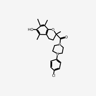 Cc1c(C)c2c(c(C)c1O)CCC(C)(C(=O)N1CCN(c3ccc(Cl)cc3)CC1)O2